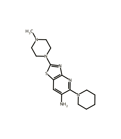 CN1CCN(c2nc3nc(N4CCCCC4)c(N)cc3s2)CC1